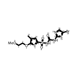 COCCOc1sc(S(=O)(=O)NC(=O)Nc2ncc(Br)s2)cc1C